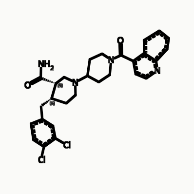 NC(=O)[C@@H]1CN(C2CCN(C(=O)c3ccnc4ccccc34)CC2)CC[C@@H]1Cc1ccc(Cl)c(Cl)c1